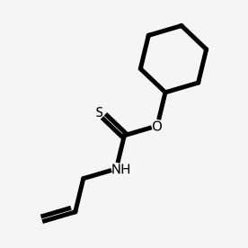 C=CCNC(=S)OC1CCCCC1